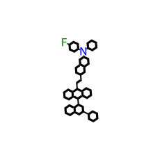 Fc1ccc(N(c2ccccc2)c2ccc3cc(/C=C/c4c5ccccc5c(-c5cc(-c6ccccc6)cc6ccccc56)c5ccccc45)ccc3c2)cc1